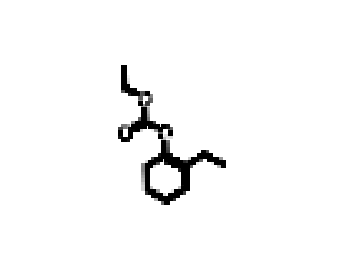 CCOC(=O)OC1=C(CC)CCCC1